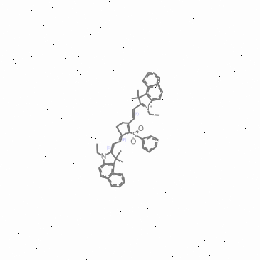 CCN1/C(=C/C=C2\CCC(/C=C/C3=[N+](CC)c4ccc5ccccc5c4C3(C)C)=C2S(=O)(=O)c2ccccc2)C(C)(C)c2c1ccc1ccccc21